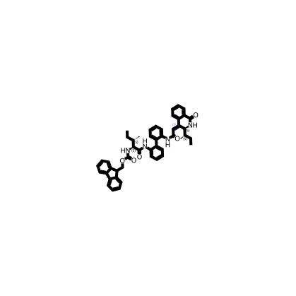 CC[C@H](C)[C@H](NC(=O)OCC1c2ccccc2-c2ccccc21)C(=O)Nc1ccccc1-c1ccccc1NC(=O)/C=C1/c2ccccc2C(=O)N[C@H]1[C@@H](C)CC